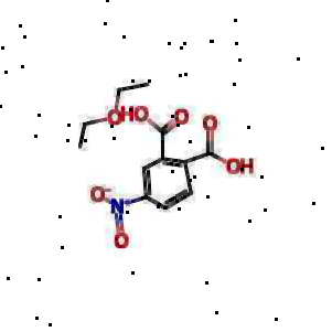 CCOCC.O=C(O)c1ccc([N+](=O)[O-])cc1C(=O)O